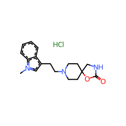 Cl.Cn1cc(CCN2CCC3(CC2)CNC(=O)O3)c2ccccc21